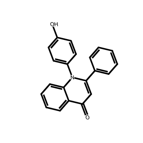 O=c1cc(-c2ccccc2)n(-c2ccc(O)cc2)c2ccccc12